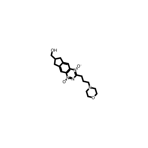 [O-][n+]1nc(CCCN2CCOCC2)[n+]([O-])c2cc3c(cc21)CC(CO)C3